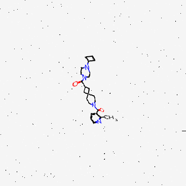 Cc1ncccc1C(=O)N1CCC2(CC1)CC(C(=O)N1CCN(C3CCC3)CC1)C2